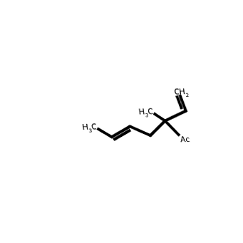 C=CC(C)(CC=CC)C(C)=O